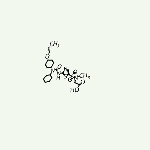 CCCO[C@H]1CC[C@H](N(C(=O)Nc2ncc(S(=O)(=O)N(C)CC(=O)O)s2)C2CCCCC2)CC1